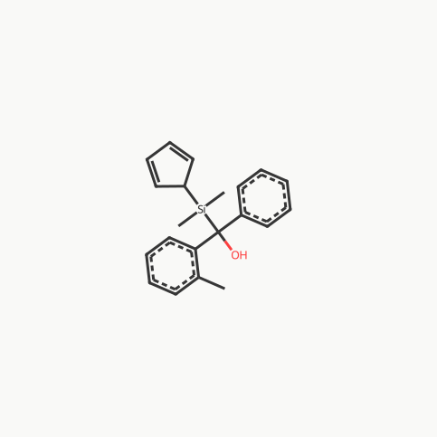 Cc1ccccc1C(O)(c1ccccc1)[Si](C)(C)C1C=CC=C1